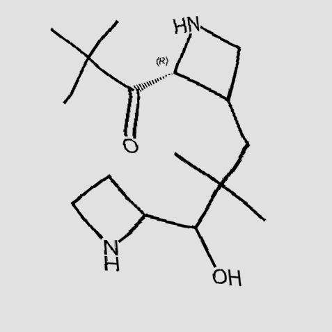 CC(C)(C)C(=O)[C@@H]1NCC1CC(C)(C)C(O)C1CCN1